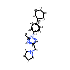 Cc1nc(CN2CCCC2)nn1-c1ccc(C2CCCCC2)cc1